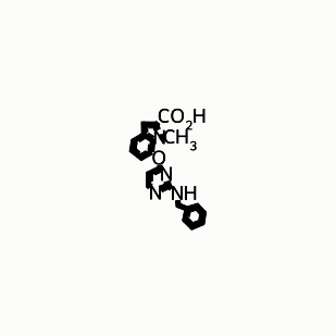 Cn1c(C(=O)O)cc2cccc(Oc3ccnc(NCc4ccccc4)n3)c21